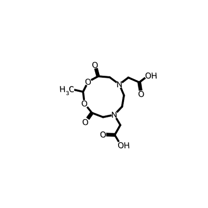 CC1OC(=O)CN(CC(=O)O)CCN(CC(=O)O)CC(=O)O1